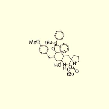 COc1ccc(SC2CC3(O)NC(=O)C4(CCCN4C(=O)OC(C)(C)C)CC3C(C)(C)C2O[Si](c2ccccc2)(c2ccccc2)C(C)(C)C)cc1